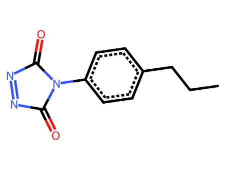 CCCc1ccc(N2C(=O)N=NC2=O)cc1